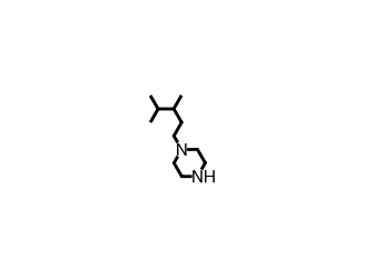 CC(C)C(C)CCN1CCNCC1